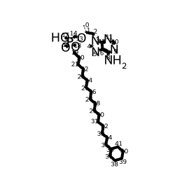 C[C@H](Cn1cnc2c(N)ncnc21)OCP(=O)(O)OCCCCCCCCCCCCCCCCCC1CCCCC1